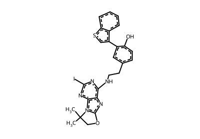 CC1(C)COc2nc3c(NCCc4ccc(O)c(-c5csc6ccccc56)c4)nc(I)nc3n21